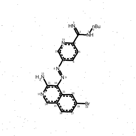 CCCCNC(=N)c1ccc(/N=N/c2c(N)ncc3ccc(Br)cc23)cn1